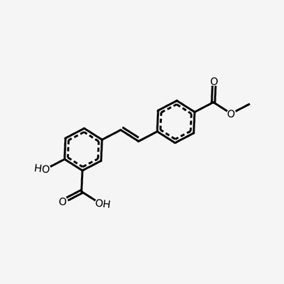 COC(=O)c1ccc(/C=C/c2ccc(O)c(C(=O)O)c2)cc1